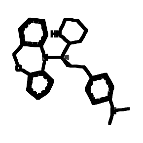 CN(C)c1ccc(CC[C@H](C2CCCCN2)N2c3ccccc3COc3ccccc32)cc1